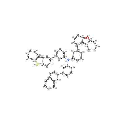 c1cc(-c2ccc3ccccc3c2)cc(N(c2cccc(-c3ccc4sc5ccccc5c4c3)c2)c2cccc(-c3cccc4oc5ccccc5c34)c2)c1